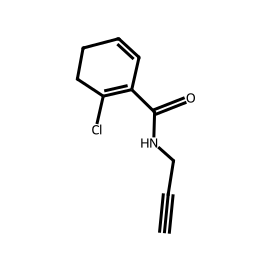 C#CCNC(=O)C1=C(Cl)CCC=C1